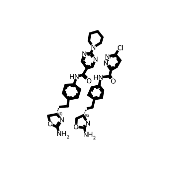 NC1=N[C@@H](CCc2ccc(NC(=O)c3ccc(Cl)nn3)cc2)CO1.NC1=N[C@@H](CCc2ccc(NC(=O)c3cnc(N4CCCCC4)nc3)cc2)CO1